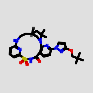 CC(C)(C)COc1ccn(-c2ccc3c(n2)N2C[C@H](CCNc4cccc(n4)S(=O)(=O)NC3=O)CC2(C)C)n1